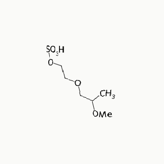 COC(C)COCCOS(=O)(=O)O